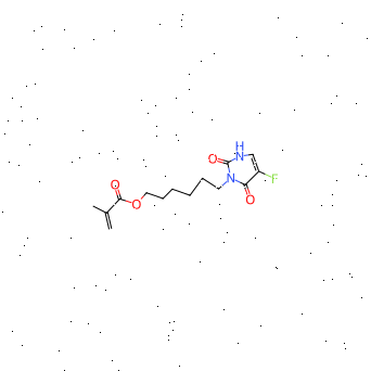 C=C(C)C(=O)OCCCCCCn1c(=O)[nH]cc(F)c1=O